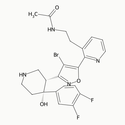 CC(=O)NCCc1cccnc1-c1onc([C@H]2CNCC[C@]2(O)c2ccc(F)c(F)c2)c1Br